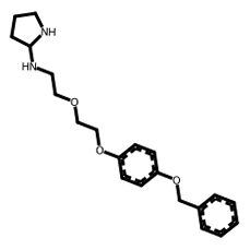 c1ccc(COc2ccc(OCCOCCNC3CCCN3)cc2)cc1